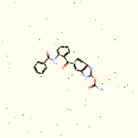 NC(=O)Oc1nc2ccc(C(=O)c3ccccc3NC(=O)c3ccccc3)cc2[nH]1